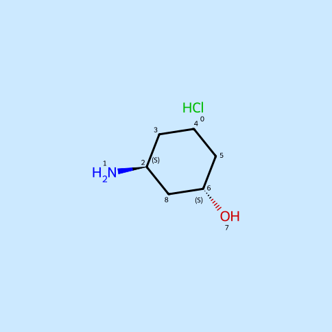 Cl.N[C@H]1CCC[C@H](O)C1